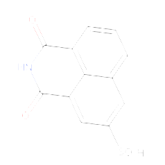 O=C1NC(=O)c2cc(S(=O)(=O)O)cc3cccc1c23